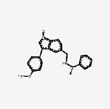 CCn1cc(-c2ccc(OC(F)(F)F)cc2)c2cc(CN[C@H](C)c3ccccc3)ccc21